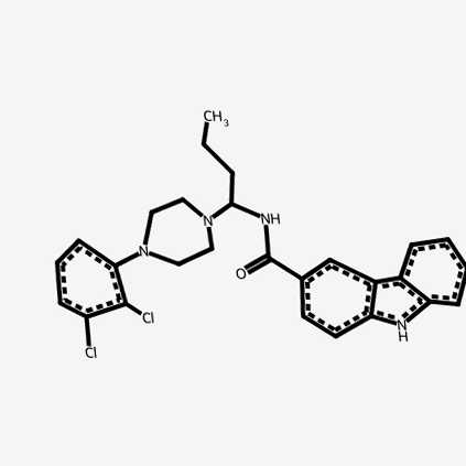 CCCC(NC(=O)c1ccc2[nH]c3ccccc3c2c1)N1CCN(c2cccc(Cl)c2Cl)CC1